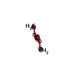 C=CC(=O)OCCCCCCCCCCCCOc1ccc(C(=O)Oc2c(F)c(F)c(OC(=O)c3ccc(OCCCCCCCCCCCCOC(=O)C=C)cc3)c(F)c2F)cc1